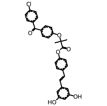 CC(C)(Oc1ccc(C(=O)c2ccc(Cl)cc2)cc1)C(=O)Oc1ccc(C=Cc2cc(O)cc(O)c2)cc1